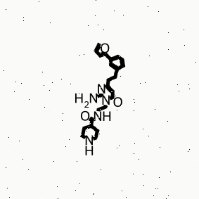 Nc1nc(CCc2cccc(-c3ccco3)c2)cc(=O)n1CCNC(=O)C1CCNCC1